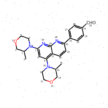 CC1COCCN1c1cc(N2CCOCC2C)c2ccc(-c3ccc(C=O)cc3)nc2n1